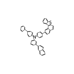 c1ccc(-c2ccc(N(c3ccc(-c4ccc5ccc6sc7ccccc7c6c5c4)cc3)c3cccc(-c4ccc5ccccc5c4)c3)cc2)cc1